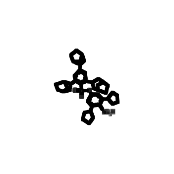 O=S(=O)(O)c1c(C2CCCC2)cc(OS(=O)(=O)c2c(C3CC4CCC(C4)C3)cc(C3CC4CCC3C4)cc2C2CC3CCC2C3)cc1C1CCCC1